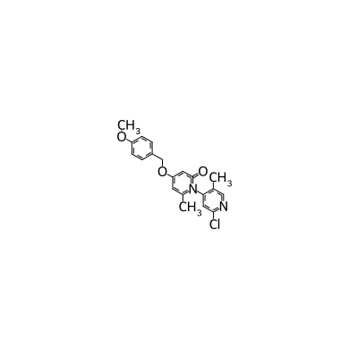 COc1ccc(COc2cc(C)n(-c3cc(Cl)ncc3C)c(=O)c2)cc1